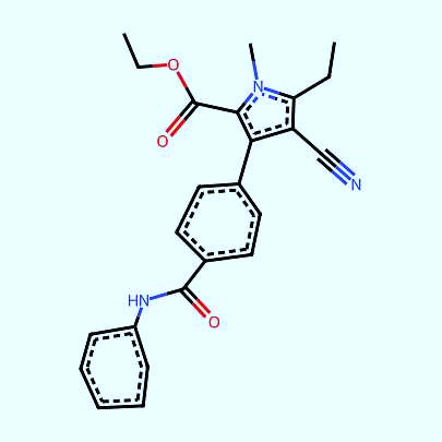 CCOC(=O)c1c(-c2ccc(C(=O)Nc3ccccc3)cc2)c(C#N)c(CC)n1C